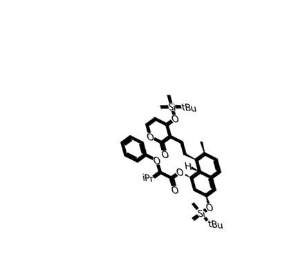 CC(C)C(Oc1ccccc1)C(=O)O[C@H]1C[C@H](O[Si](C)(C)C(C)(C)C)C=C2C=C[C@H](C)[C@H](CCC3C(=O)OCCC3O[Si](C)(C)C(C)(C)C)[C@H]21